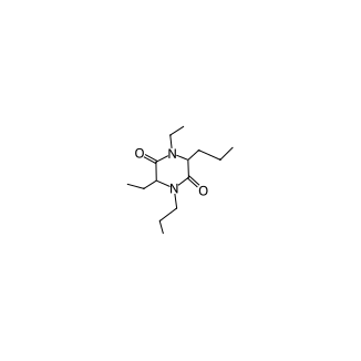 CCCC1C(=O)N(CCC)C(CC)C(=O)N1CC